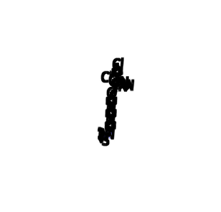 CCn1ccs/c1=N/c1ccc(N2CCN(c3ccc(OCC4COC(Cn5cncn5)(c5ccc(Cl)cc5Cl)O4)cc3)CC2)cc1